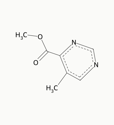 COC(=O)c1ncncc1C